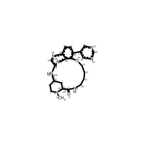 CN1CC[C@H]2C[C@H]1C(=O)NCCCCOc1c(-c3cncnc3)ccc3ncc(nc13)N2